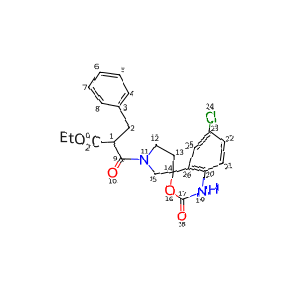 CCOC(=O)C(Cc1ccccc1)C(=O)N1CCC2(C1)OC(=O)Nc1ccc(Cl)cc12